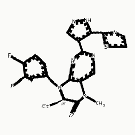 CC[C@@H]1C(=O)N(C)c2cnc(-c3cn[nH]c3-c3nccs3)nc2N1c1ccc(F)c(F)c1